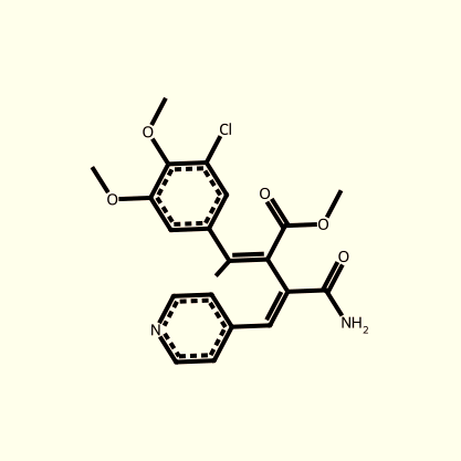 COC(=O)C(=C(/C)c1cc(Cl)c(OC)c(OC)c1)/C(=C\c1ccncc1)C(N)=O